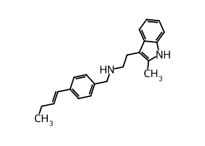 CC/C=C/c1ccc(CNCCc2c(C)[nH]c3ccccc23)cc1